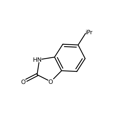 CC(C)c1ccc2oc(=O)[nH]c2c1